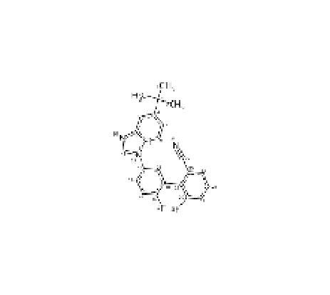 CC(C)(C)c1ccc2c(c1)ncn2-c1ccc(F)c(-c2c(F)cccc2C#N)c1